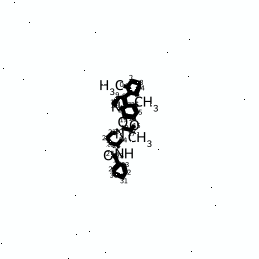 Cc1cccc(C)c1-c1ccnc2cc(O[C@H](C)C(=O)N3CCC[C@H](NC(=O)c4ccccc4)C3)ccc12